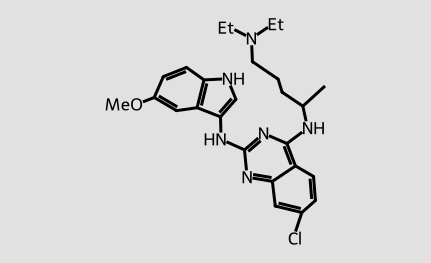 CCN(CC)CCCC(C)Nc1nc(Nc2c[nH]c3ccc(OC)cc23)nc2cc(Cl)ccc12